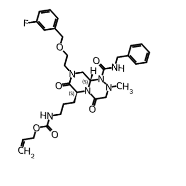 C=CCOC(=O)NCCC[C@H]1C(=O)N(CCOCc2cccc(F)c2)C[C@H]2N1C(=O)CN(C)N2C(=O)NCc1ccccc1